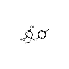 CC[C@](CC(=O)O)(Oc1ccc(C)cc1)C(=O)O